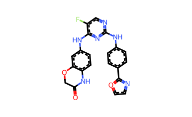 O=C1COc2cc(Nc3nc(Nc4ccc(-c5ncco5)cc4)ncc3F)ccc2N1